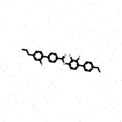 CCCc1ccc(-c2ccc(C(=O)Oc3ccc(-c4ccc(CC)cc4)c(F)c3F)cc2)c(F)c1